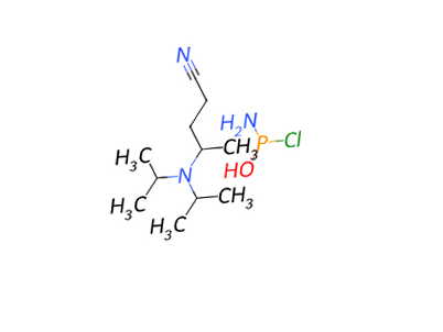 CC(C)N(C(C)C)C(C)CCC#N.NP(O)Cl